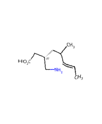 CC=CC(C)C[C@H](CN)CC(=O)O